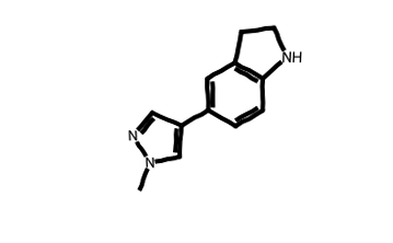 Cn1cc(-c2ccc3c(c2)CCN3)cn1